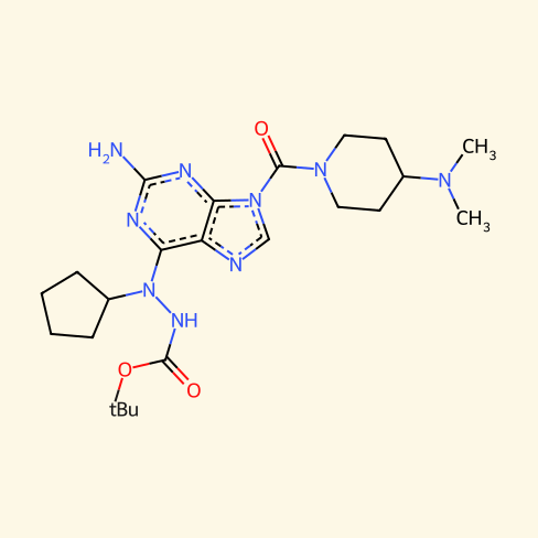 CN(C)C1CCN(C(=O)n2cnc3c(N(NC(=O)OC(C)(C)C)C4CCCC4)nc(N)nc32)CC1